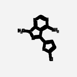 Cn1nc(-c2ccc(Cl)s2)c2c(N)ncnc21